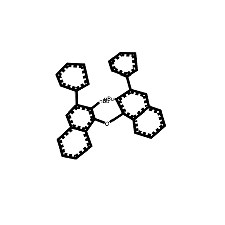 CCCCc1c(-c2ccccc2)cc2ccccc2c1Oc1c(CCCC)c(-c2ccccc2)cc2ccccc12